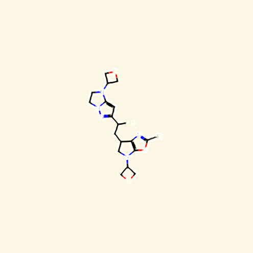 CC(C)c1nc2c(o1)N(C1COC1)CC2CC(C)c1cc2n(n1)CCN2C1COC1